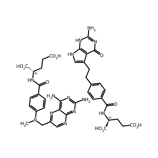 CN(Cc1cnc2nc(N)nc(N)c2n1)c1ccc(C(=O)N[C@@H](CCC(=O)O)C(=O)O)cc1.Nc1nc(=O)c2c(CCc3ccc(C(=O)N[C@@H](CCC(=O)O)C(=O)O)cc3)c[nH]c2[nH]1